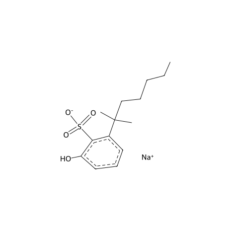 CCCCCC(C)(C)c1cccc(O)c1S(=O)(=O)[O-].[Na+]